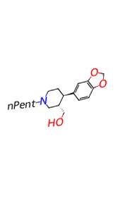 CCCCCN1CC[C@@H](c2ccc3c(c2)OCO3)[C@H](CO)C1